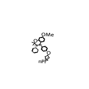 CCCN1CC(Oc2ccc([C@@H]3c4ccc(OC)cc4OC(C)(C)[C@H]3C3C=CC=CC3)cc2)C1